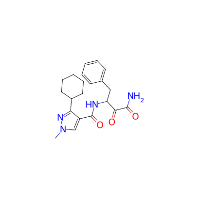 Cn1cc(C(=O)NC(Cc2ccccc2)C(=O)C(N)=O)c(C2CCCCC2)n1